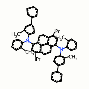 Cc1ccccc1N(c1ccc(-c2ccccc2)cc1C)c1cc(C(C)C)c2ccc3c(N(c4ccccc4C)c4ccc(-c5ccccc5)cc4C)cc(C(C)C)c4ccc1c2c43